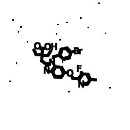 CCC(CC)(Cc1nc2ccc(OCc3ncc(C)cc3F)cc2n1Cc1ccc(Br)cc1)C(=O)O